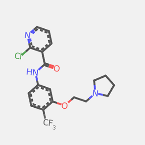 O=C(Nc1ccc(C(F)(F)F)c(OCCN2CCCC2)c1)c1cccnc1Cl